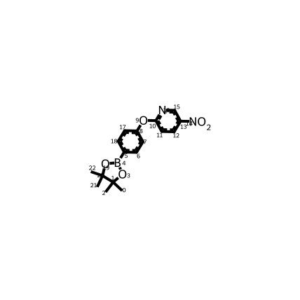 CC1(C)OB(c2ccc(Oc3ccc([N+](=O)[O-])cn3)cc2)OC1(C)C